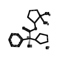 C[N+]1(C)CCCC1OC(=O)[C@](O)(c1ccccc1)C1CCCC1.[Cl-]